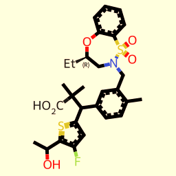 CC[C@@H]1CN(Cc2cc(C(c3cc(F)c(C(C)O)s3)C(C)(C)C(=O)O)ccc2C)S(=O)(=O)c2ccccc2O1